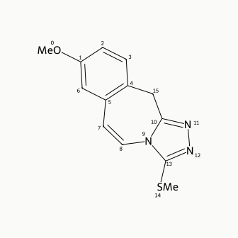 COc1ccc2c(c1)C=Cn1c(nnc1SC)C2